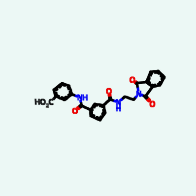 O=C(O)c1cccc(NC(=O)c2cccc(C(=O)NCCN3C(=O)c4ccccc4C3=O)c2)c1